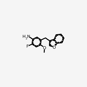 COc1cc(F)c(N)cc1Cc1coc2ccccc12